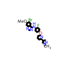 COc1cc2ncnc(Nc3ccc(Oc4cccc(-c5cnn(C)c5)n4)cc3F)c2cc1Br